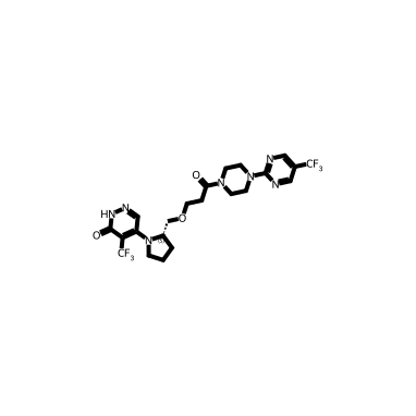 O=C(CCOC[C@@H]1CCCN1c1cn[nH]c(=O)c1C(F)(F)F)N1CCN(c2ncc(C(F)(F)F)cn2)CC1